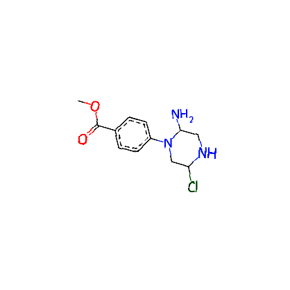 COC(=O)c1ccc(N2CC(Cl)NCC2N)cc1